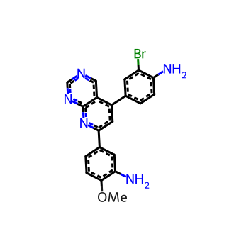 COc1ccc(-c2cc(-c3ccc(N)c(Br)c3)c3cncnc3n2)cc1N